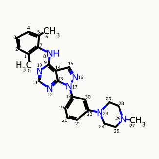 Cc1cccc(C)c1Nc1ncnc2c1cnn2-c1cccc(N2CCN(C)CC2)c1